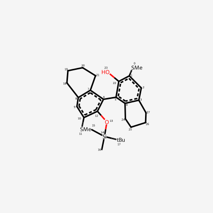 CSc1cc2c(c(-c3c4c(cc(SC)c3O[Si](C)(C)C(C)(C)C)CCCC4)c1O)CCCC2